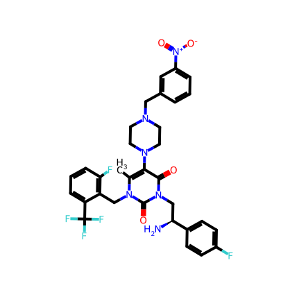 Cc1c(N2CCN(Cc3cccc([N+](=O)[O-])c3)CC2)c(=O)n(C[C@H](N)c2ccc(F)cc2)c(=O)n1Cc1c(F)cccc1C(F)(F)F